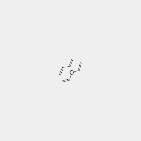 C=CC=C.C=COC=C